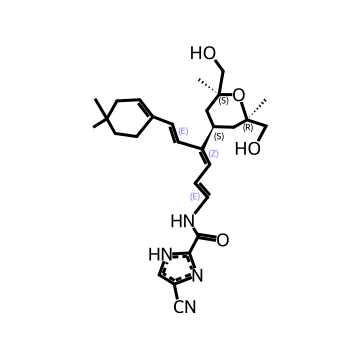 CC1(C)CC=C(/C=C/C(=C\C=C\NC(=O)c2nc(C#N)c[nH]2)[C@@H]2C[C@](C)(CO)O[C@](C)(CO)C2)CC1